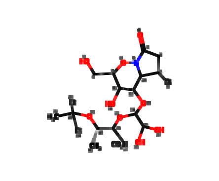 CCC1CC(=O)N2OC(CO)C(O)C(OC(OC(C(=O)O)[C@H](C)OC(C)(CC)CC)C(O)O)C12